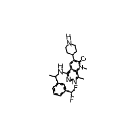 Cc1nnc(NC(C)c2cccc(C(F)F)c2)c2cc(C3CCNCC3)c(=O)n(C)c12